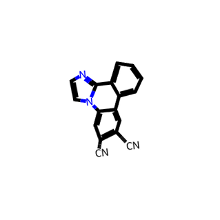 N#Cc1cc2c3ccccc3c3nccn3c2cc1C#N